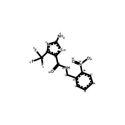 Nc1nc(C(F)(F)F)c(C(=O)NCc2ccccc2[N+](=O)[O-])s1